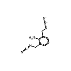 [N-]=[N+]=NCc1cccc(CN=[N+]=[N-])c1N